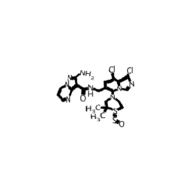 CC1(C)CN(c2c(CNC(=O)c3c(N)nn4cccnc34)cc(Cl)c3c(Cl)ncn23)CCS1=S=O